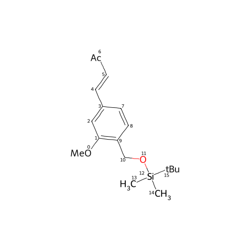 COc1cc(C=CC(C)=O)ccc1CO[Si](C)(C)C(C)(C)C